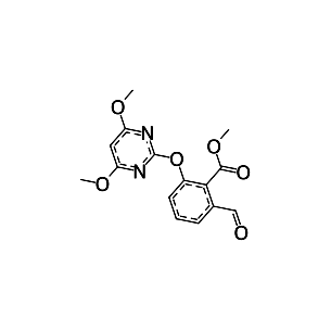 COC(=O)c1c(C=O)cccc1Oc1nc(OC)cc(OC)n1